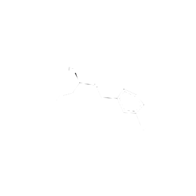 CC(C)[C@H](CC(=O)O)NCc1cccc(Br)c1